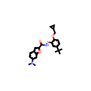 CN(C)c1ccc2cc(C(=O)NSc3cc(C(C)(C)C)ccc3OCC3CC3)oc2c1